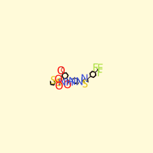 COc1ccc(C(=O)N2CC3CC2CN3c2nc(-c3ccc(C(F)(F)F)cc3)cs2)c(NS(=O)(=O)c2cccs2)c1